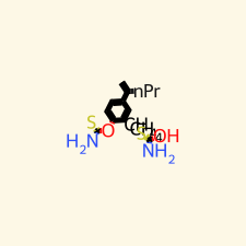 C.C.C=C(CCC)c1ccc(OC(N)=S)cc1.NC(O)=S